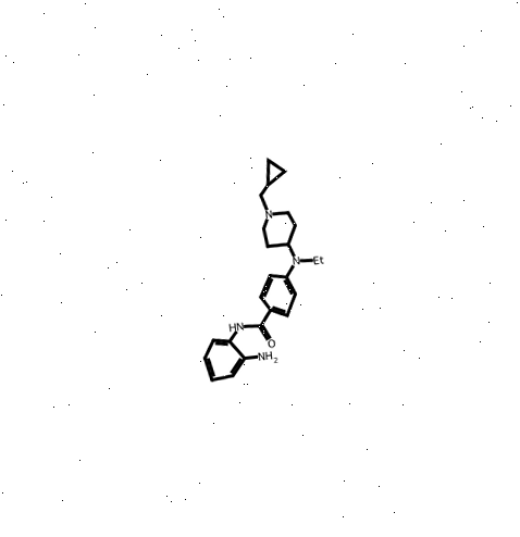 CCN(c1ccc(C(=O)Nc2ccccc2N)cc1)C1CCN(CC2CC2)CC1